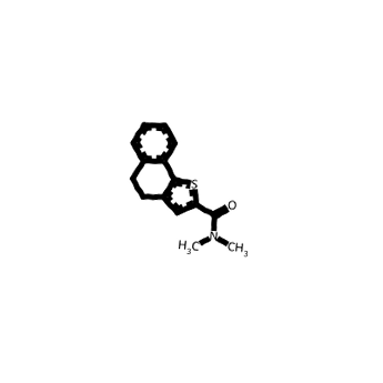 CN(C)C(=O)c1cc2c(s1)-c1ccccc1CC2